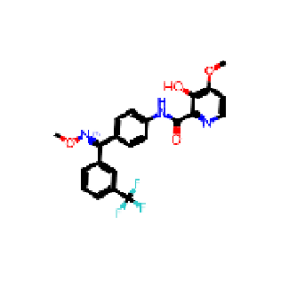 CO/N=C(/c1ccc(NC(=O)c2nccc(OC)c2O)cc1)c1cccc(C(F)(F)F)c1